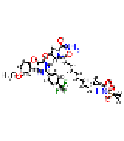 COc1ccc2oc3c(O[C@@H]4C[C@@H](C(N)=O)N(C(=O)CCCCCC/C=C\[C@@H]5C[C@@H]5C(=O)NS(=O)(=O)C5CC5)C4)nc(-c4ccc(C(F)(F)F)cc4)nc3c2c1